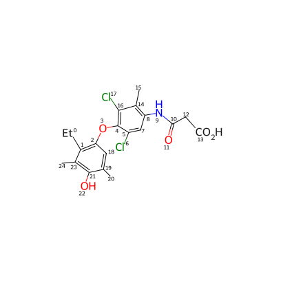 CCc1c(Oc2c(Cl)cc(NC(=O)CC(=O)O)c(C)c2Cl)cc(C)c(O)c1C